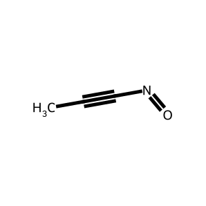 CC#CN=O